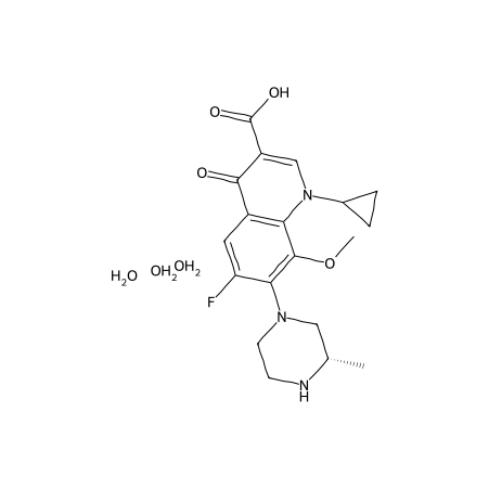 COc1c(N2CCN[C@@H](C)C2)c(F)cc2c(=O)c(C(=O)O)cn(C3CC3)c12.O.O.O